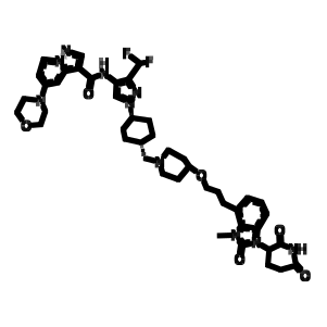 Cn1c(=O)n(C2CCC(=O)NC2=O)c2cccc(CCCOC3CCN(C[C@H]4CC[C@H](n5cc(NC(=O)c6cnn7ccc(N8CCOCC8)cc67)c(C(F)F)n5)CC4)CC3)c21